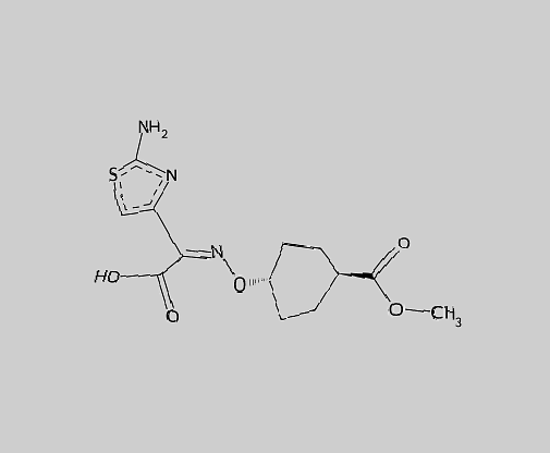 COC(=O)[C@H]1CC[C@H](O/N=C(\C(=O)O)c2csc(N)n2)CC1